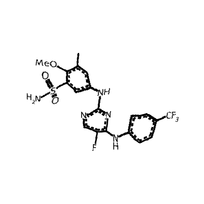 COc1c(C)cc(Nc2ncc(F)c(Nc3ccc(C(F)(F)F)cc3)n2)cc1S(N)(=O)=O